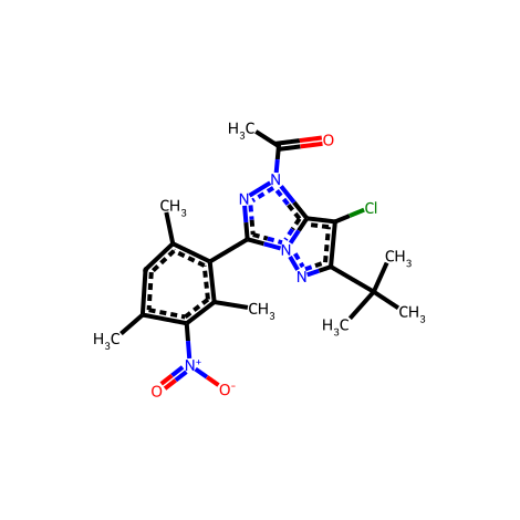 CC(=O)n1nc(-c2c(C)cc(C)c([N+](=O)[O-])c2C)n2nc(C(C)(C)C)c(Cl)c12